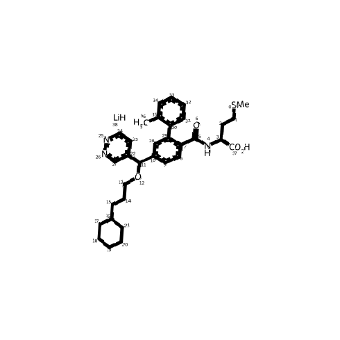 CSCCC(NC(=O)c1ccc(C(OCCCC2CCCCC2)c2ccnnc2)cc1-c1ccccc1C)C(=O)O.[LiH]